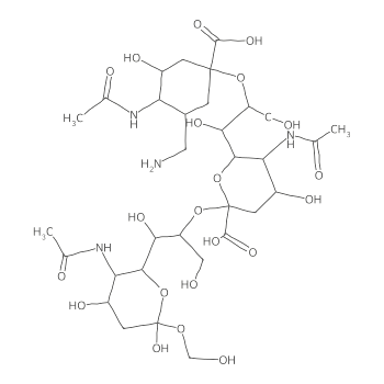 CC(=O)NC1C(O)CC(OC(CO)C(O)C2OC(OC(CO)C(O)C3OC(O)(OCO)CC(O)C3NC(C)=O)(C(=O)O)CC(O)C2NC(C)=O)(C(=O)O)CC1CN